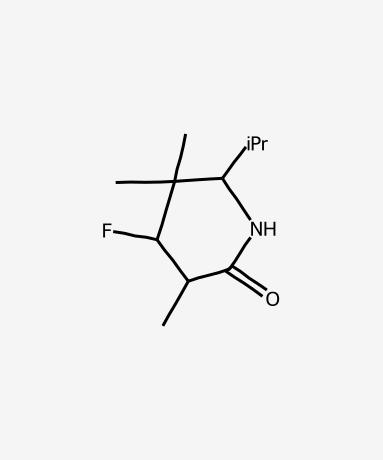 CC(C)C1NC(=O)C(C)C(F)C1(C)C